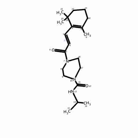 CC1=C(/C=C/C(=O)N2CCN(C(=O)NC(C)C)CC2)C(C)(C)CCC1